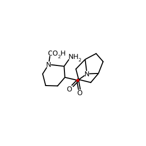 NC1C(C(=O)N2C3CCC2CC(=O)C3)CCCN1C(=O)O